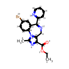 CCOC(=O)c1nc(C)n2c1CN=C(c1ccccn1)c1cc(Br)ccc1-2